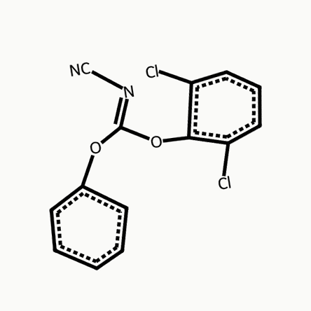 N#C/N=C(\Oc1ccccc1)Oc1c(Cl)cccc1Cl